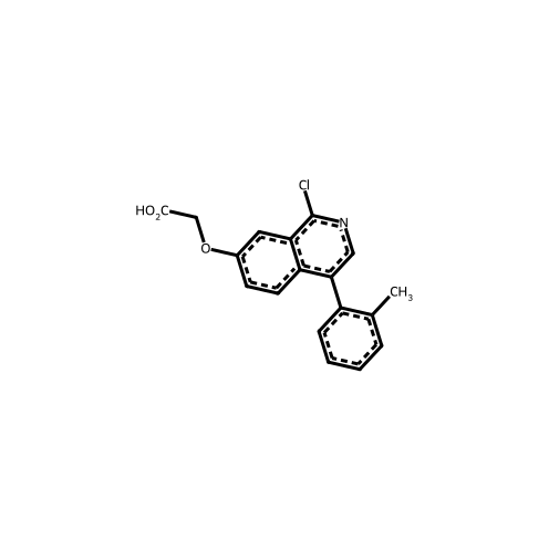 Cc1ccccc1-c1cnc(Cl)c2cc(OCC(=O)O)ccc12